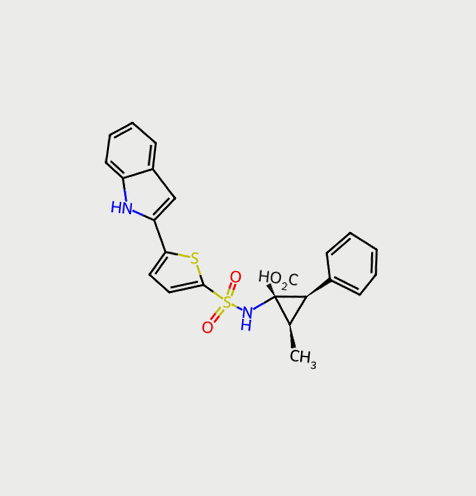 C[C@@H]1[C@H](c2ccccc2)[C@]1(NS(=O)(=O)c1ccc(-c2cc3ccccc3[nH]2)s1)C(=O)O